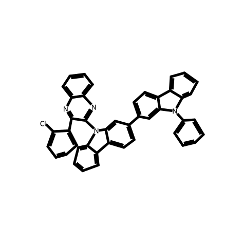 Clc1ccccc1-c1nc2ccccc2nc1-n1c2ccccc2c2ccc(-c3ccc4c5ccccc5n(-c5ccccc5)c4c3)cc21